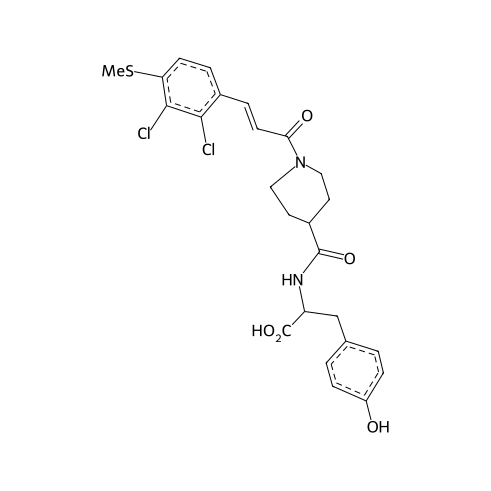 CSc1ccc(/C=C/C(=O)N2CCC(C(=O)NC(Cc3ccc(O)cc3)C(=O)O)CC2)c(Cl)c1Cl